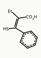 CCC(C(=O)O)=C(S)c1ccccc1